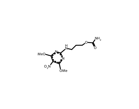 COc1nc(NCCCOC(N)=O)nc(OC)c1[N+](=O)[O-]